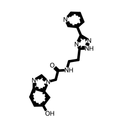 O=C(Cn1cnc2ccc(O)cc21)NCCc1nc(-c2cccnc2)n[nH]1